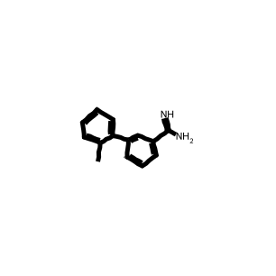 Cc1ccccc1-c1[c]ccc(C(=N)N)c1